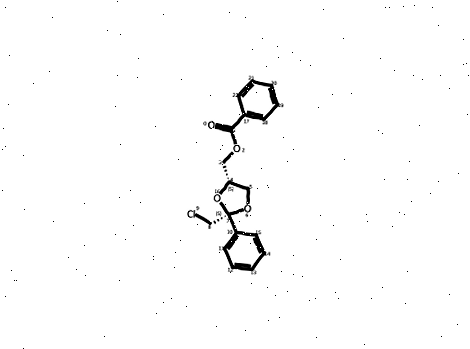 O=C(OC[C@@H]1CO[C@@](CCl)(c2ccccc2)O1)c1ccccc1